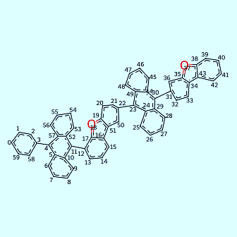 c1ccc(-c2c3ccccc3c(-c3cccc4c3oc3ccc(-c5c6ccccc6c(-c6ccc7c(c6)oc6ccccc67)c6ccccc56)cc34)c3ccccc23)cc1